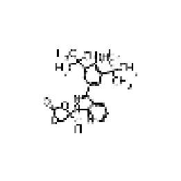 CC(C)(C)c1cc(-c2nn(C3(C)COC(=O)O3)c3ncccc23)cc(C(C)(C)C)c1O